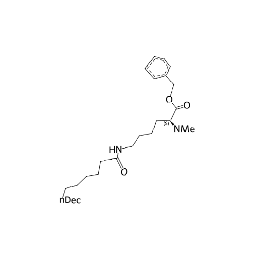 CCCCCCCCCCCCCCCC(=O)NCCCC[C@H](NC)C(=O)OCc1ccccc1